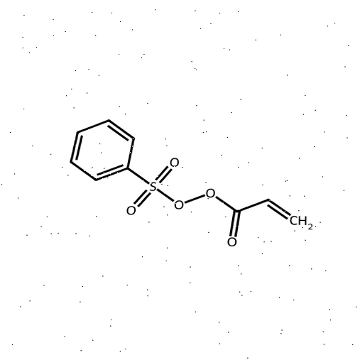 C=CC(=O)OOS(=O)(=O)c1ccccc1